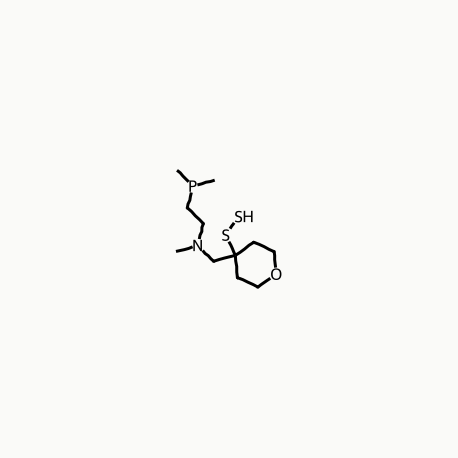 CN(CCP(C)C)CC1(SS)CCOCC1